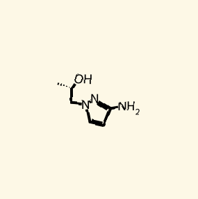 C[C@H](O)Cn1ccc(N)n1